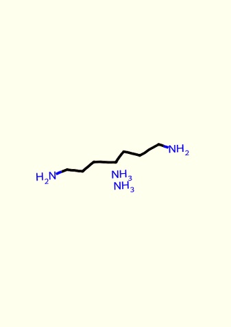 N.N.NCCCCCCCN